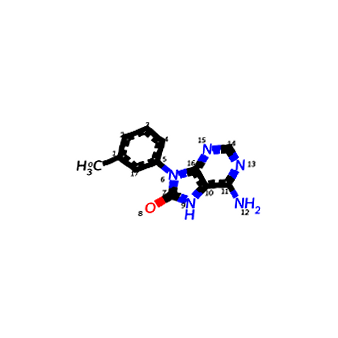 Cc1cccc(-n2c(=O)[nH]c3c(N)ncnc32)c1